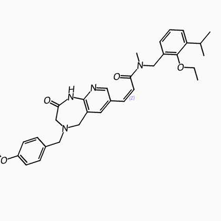 CCOc1c(CN(C)C(=O)/C=C\c2cnc3c(c2)CN(Cc2ccc(OC)cc2)CC(=O)N3)cccc1C(C)C